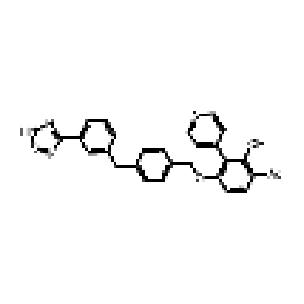 CC(=O)c1ccc(OCc2ccc(Cc3cccc(-c4nn[nH]n4)c3)cc2)c(-c2ccncc2)c1O